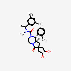 CCC(c1cc(C(F)(F)F)cc(C(F)(F)F)c1)N(C)C(=O)N1CCN2C(=O)C(CCO)(CCO)C[C@H]2[C@@H]1c1ccccc1C